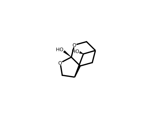 O[C@H]1C2CO[C@@]3(O)OCC1C3C2